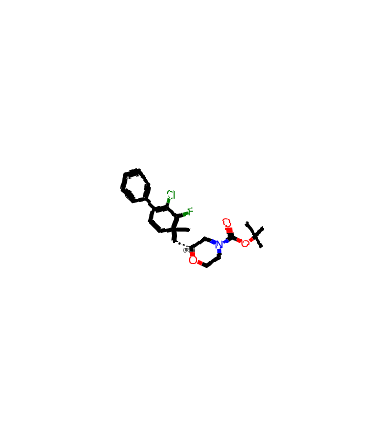 CC(C)(C)OC(=O)N1CCO[C@H](CC2(C)C=CC(c3ccccc3)=C(Cl)C2F)C1